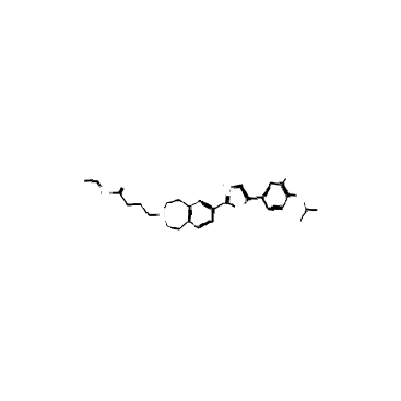 CCOC(=O)CCCN1CCc2ccc(-c3ncc(-c4ccc(OC(C)C)c(Cl)c4)s3)cc2CC1